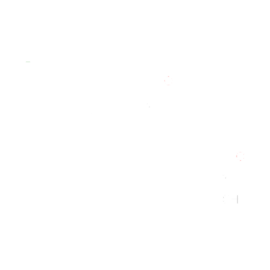 CC(=O)CCCC(=O)c1ccc(F)cc1